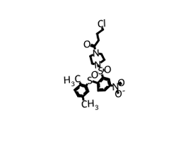 Cc1ccc(C)c(Sc2ccc([N+](=O)[O-])cc2S(=O)(=O)N2CCN(C(=O)CCCCl)CC2)c1